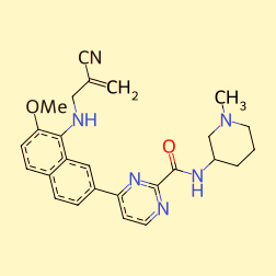 C=C(C#N)CNc1c(OC)ccc2ccc(-c3ccnc(C(=O)NC4CCCN(C)C4)n3)cc12